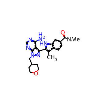 CNC(=O)c1ccc2c(C)c(-c3nn(CC4CCOCC4)c4ncnc(N)c34)[nH]c2c1